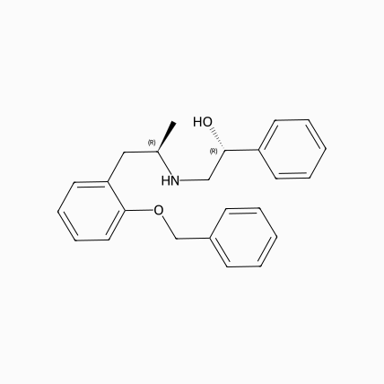 C[C@H](Cc1ccccc1OCc1ccccc1)NC[C@H](O)c1ccccc1